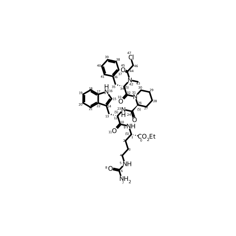 CCOC(=O)[C@H](CCCNC(N)=O)NC(=O)[C@H](Cc1c[nH]c2ccccc12)NC(=O)[C@@H]1CCCCN1C(=O)[C@H](Cc1ccccc1)N(C)C(=O)CCl